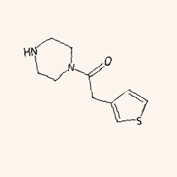 O=C(Cc1ccsc1)N1CCNCC1